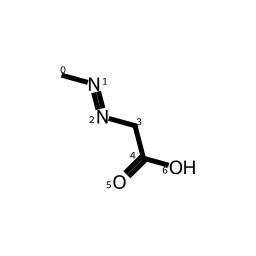 CN=NCC(=O)O